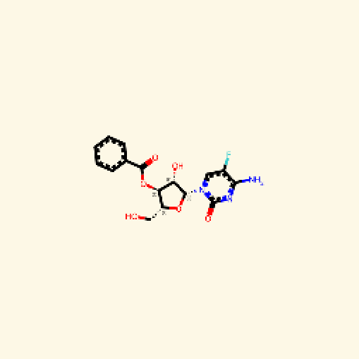 Nc1nc(=O)n([C@@H]2O[C@H](CO)[C@@H](OC(=O)c3ccccc3)[C@@H]2O)cc1F